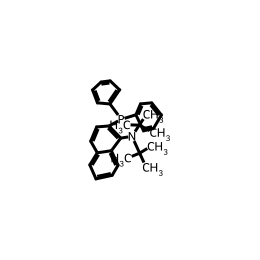 CC(C)(C)N(c1c(P(c2ccccc2)c2ccccc2)ccc2ccccc12)C(C)(C)C